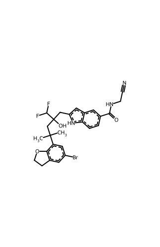 CC(C)(CC(O)(Cc1cc2cc(C(=O)NCC#N)ccc2[nH]1)C(F)F)c1cc(Br)cc2c1OCC2